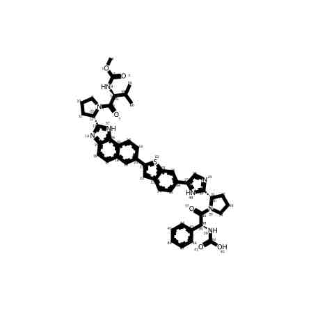 COC(=O)N[C@H](C(=O)N1CCC[C@H]1c1nc2ccc3cc(-c4cc5ccc(-c6cnc([C@@H]7CCCN7C(=O)[C@H](NC(=O)O)c7ccccc7)[nH]6)cc5s4)ccc3c2[nH]1)C(C)C